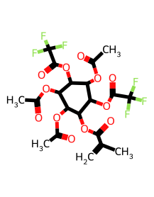 C=C(C)C(=O)OC1C(OC(C)=O)C(OC(C)=O)C(OC(=O)C(F)(F)F)C(OC(C)=O)C1OC(=O)C(F)(F)F